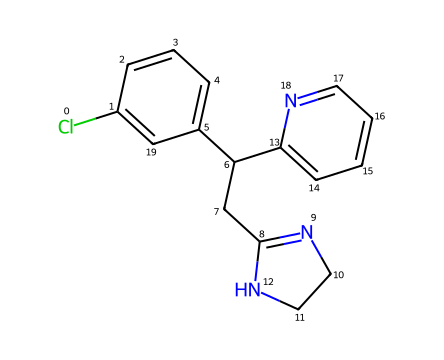 Clc1cccc(C(CC2=NCCN2)c2ccccn2)c1